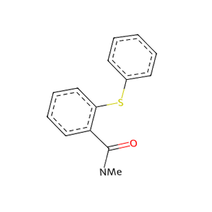 CNC(=O)c1ccccc1Sc1ccccc1